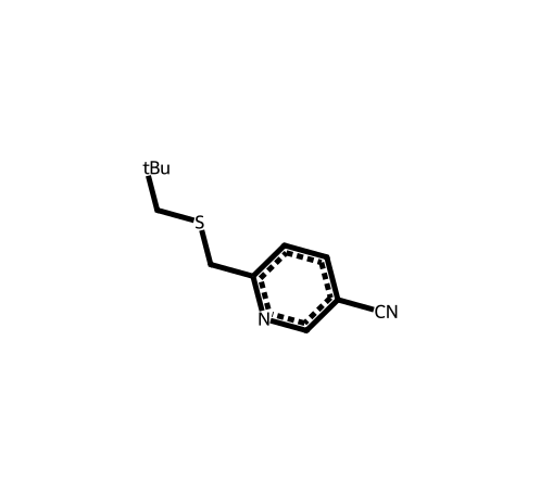 CC(C)(C)CSCc1ccc(C#N)cn1